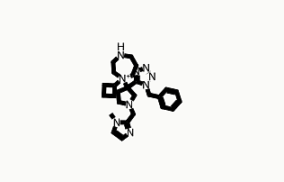 Cn1ccnc1CN1CCC(c2nnnn2Cc2ccccc2)([N+]2(C3CCC3)CCCNCC2)C1